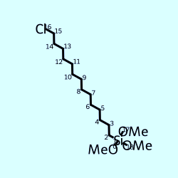 CO[Si](CCCCCCCCCCCCCCCl)(OC)OC